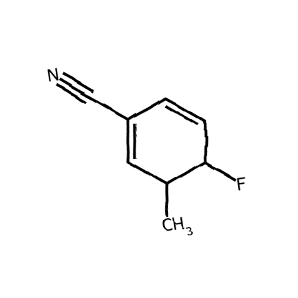 CC1C=C(C#N)C=CC1F